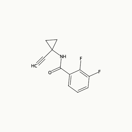 C#CC1(NC(=O)c2cccc(F)c2F)CC1